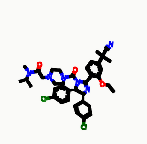 CCOc1cc(C(C)(C)C#N)ccc1C1=N[C@@H](C2C=CC(Cl)=CC2)[C@@H](c2ccc(Cl)cc2)N1C(=O)N1CCN(CC(=O)N(C)C(C)C)CC1